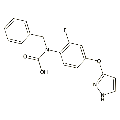 O=C(O)N(Cc1ccccc1)c1ccc(Oc2cc[nH]n2)cc1F